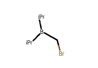 CC(C)B(CBr)C(C)C